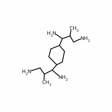 CC(CN)C(N)C1CCC(C(N)C(C)CN)CC1